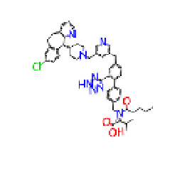 CCCCC(=O)N(Cc1ccc(-c2ccc(Cc3cncc(CN4CCC(=C5c6ccc(Cl)cc6CCc6cccnc65)CC4)c3)cc2-c2nn[nH]n2)cc1)[C@H](C(=O)O)C(C)C